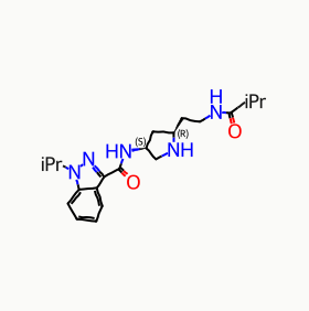 CC(C)C(=O)NCC[C@@H]1C[C@H](NC(=O)c2nn(C(C)C)c3ccccc23)CN1